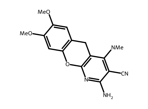 CNc1c(C#N)c(N)nc2c1Cc1cc(OC)c(OC)cc1O2